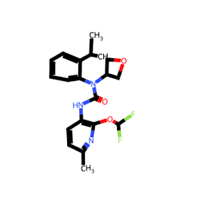 Cc1ccc(NC(=O)N(c2ccccc2C(C)C)C2COC2)c(OC(F)F)n1